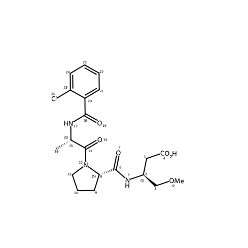 COC[C@H](CC(=O)O)NC(=O)[C@@H]1CCCN1C(=O)[C@H](C)NC(=O)c1ccccc1Cl